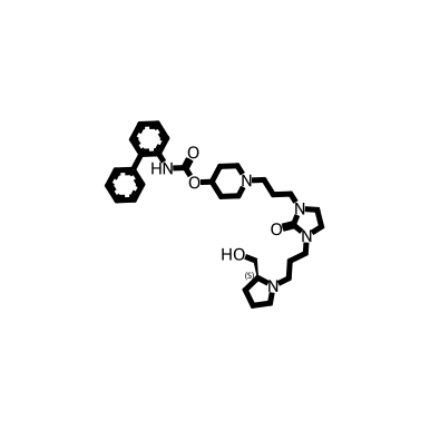 O=C(Nc1ccccc1-c1ccccc1)OC1CCN(CCCN2CCN(CCCN3CCC[C@H]3CO)C2=O)CC1